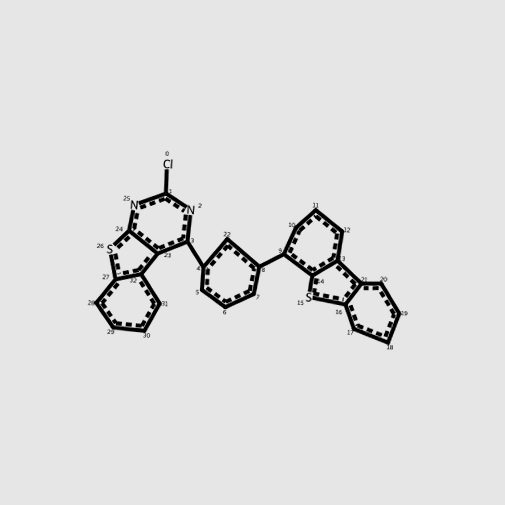 Clc1nc(-c2cccc(-c3cccc4c3sc3ccccc34)c2)c2c(n1)sc1ccccc12